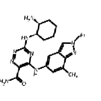 Cc1cc(Nc2nc(N[C@@H]3CCCC[C@@H]3N)nnc2C(N)=O)cc2cn(C(C)C)nc12